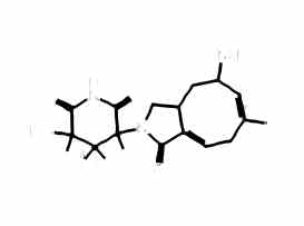 NC1/C=C(/F)C/C=C2/C(=O)N(C3(O)C(=O)NC(=O)C(O)(O)C3(O)O)CC2C1